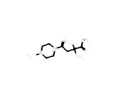 CN1CCN(C(=O)[CH]C(C)(C)C(N)=O)CC1